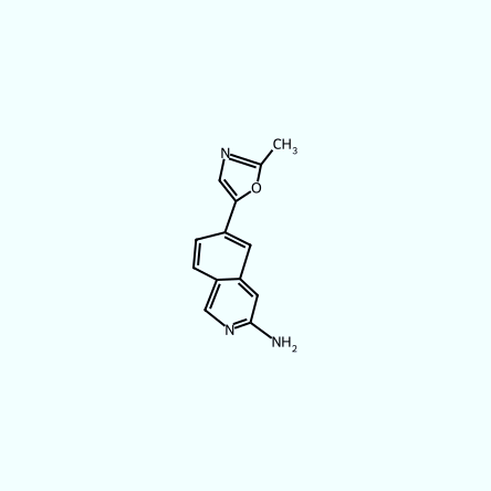 Cc1ncc(-c2ccc3cnc(N)cc3c2)o1